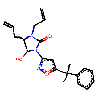 C=CCC1C(O)N(c2cc(C(C)(C)c3ccccc3)on2)C(=O)N1CC=C